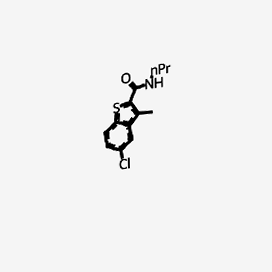 CCCNC(=O)c1sc2ccc(Cl)cc2c1C